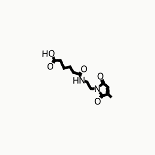 CC1=CC(=O)N(CCNC(=O)CCCCC(=O)O)C1=O